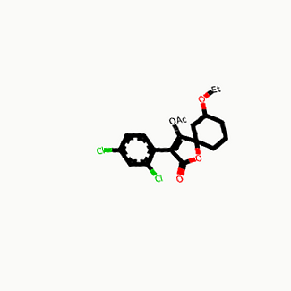 CCOC1CCCC2(C1)OC(=O)C(c1ccc(Cl)cc1Cl)=C2OC(C)=O